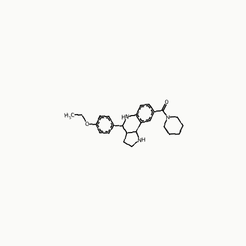 CCOc1ccc(C2Nc3ccc(C(=O)N4CCCCC4)cc3C3NCCC23)cc1